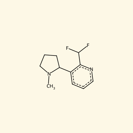 CN1CCCC1c1cccnc1C(F)F